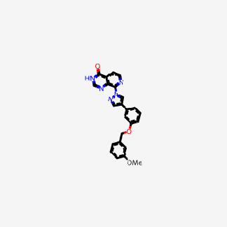 COc1cccc(COc2cccc(-c3cnn(-c4nccc5c(=O)[nH]cnc45)c3)c2)c1